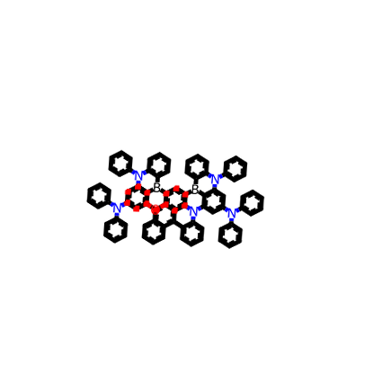 c1ccc(-c2c3ccccc3c(-c3ccccc3N3c4cc5c(cc4B4c6ccccc6N(c6ccccc6)c6cc(N(c7ccccc7)c7ccccc7)cc3c64)B3c4ccccc4N(c4ccccc4)c4cc(N(c6ccccc6)c6ccccc6)cc(c43)O5)c3ccccc23)cc1